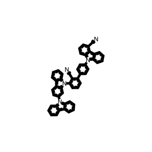 N#Cc1c(-c2ccc(-n3c4ccccc4c4c(C#N)cccc43)cc2)cccc1-n1c2ccccc2c2ccc(-n3c4ccccc4c4ccccc43)cc21